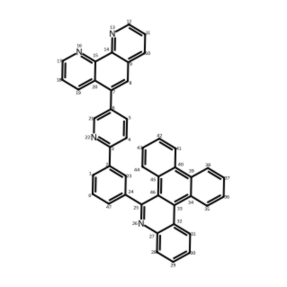 c1cc(-c2ccc(-c3cc4cccnc4c4ncccc34)cn2)cc(-c2nc3ccccc3c3c4ccccc4c4ccccc4c23)c1